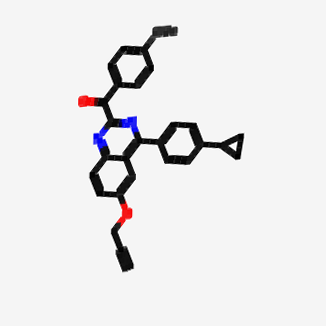 C#CCOc1ccc2nc(C(=O)c3ccc(OC)cc3)nc(-c3ccc(C4CC4)cc3)c2c1